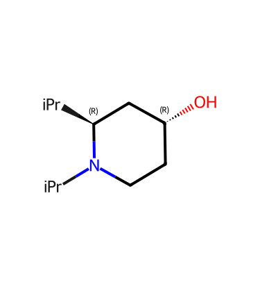 CC(C)[C@H]1C[C@H](O)CCN1C(C)C